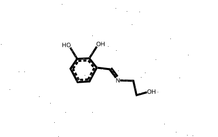 OCCN=Cc1cccc(O)c1O